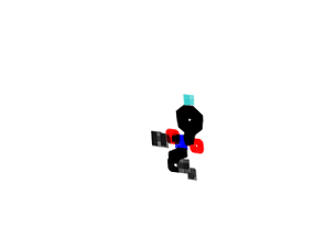 C=CCN(OCC)C(=O)c1ccc(F)cc1